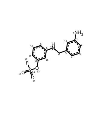 Nc1cccc(CNc2cccc(OS(=O)(=O)F)c2)c1